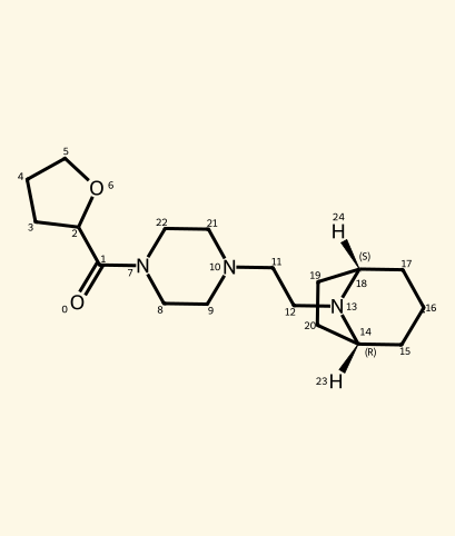 O=C(C1CCCO1)N1CCN(CCN2[C@@H]3C[CH]C[C@H]2CC3)CC1